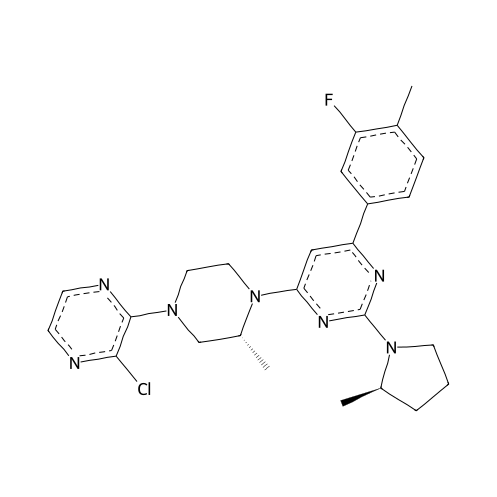 Cc1ccc(-c2cc(N3CCN(c4nccnc4Cl)C[C@H]3C)nc(N3CCC[C@H]3C)n2)cc1F